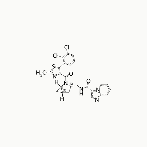 Cc1nc(C(=O)N2[C@H](CNC(=O)c3cnc4ccccn34)C[C@@H]3C[C@@H]32)c(-c2cccc(Cl)c2Cl)s1